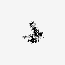 CNC1=NC(N)(c2cc(C(C)(C)n3nccn3)nn2C2CC2)Nc2[nH]cc(F)c21